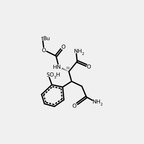 CC(C)(C)OC(=O)N[C@H](C(N)=O)C(CC(N)=O)c1ccccc1S(=O)(=O)O